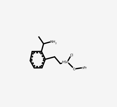 CCC[O][SnH]([Cl])[CH2]Cc1ccccc1C(C)N